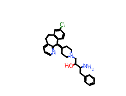 NC(Cc1ccccc1)C(O)CN1CCC(=C2c3ccc(Cl)cc3CCc3cccnc32)CC1